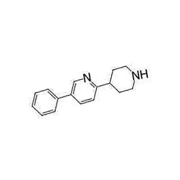 c1ccc(-c2ccc(C3CCNCC3)nc2)cc1